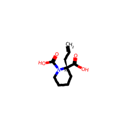 C=CC[C@@]1(C(=O)O)CCCCN1C(=O)O